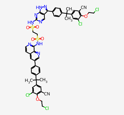 CC(C)(c1ccc(-c2cnc3c(NS(=O)(=O)CCS(=O)(=O)Nc4ncc5c(-c6ccc(C(C)(C)c7cc(Cl)c(OCCCl)c(C#N)c7)cc6)n[nH]c5n4)nccc3c2)cc1)c1cc(Cl)c(OCCCl)c(C#N)c1